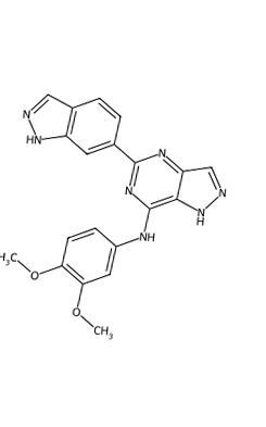 COc1ccc(Nc2nc(-c3ccc4cn[nH]c4c3)nc3cn[nH]c23)cc1OC